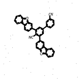 N#Cc1cccc(-c2cc(-c3ccc4c(c3)oc3ccccc34)c(C#N)c(-c3ccc4oc5ccccc5c4c3)c2)c1